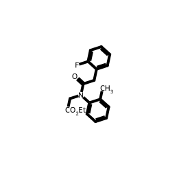 CCOC(=O)CN(C(=O)Cc1ccccc1F)c1ccccc1C